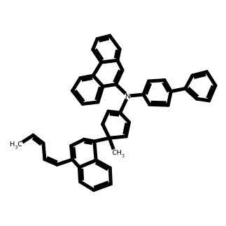 C/C=C\C=C/c1ccc(C2(C)C=CC(N(c3ccc(-c4ccccc4)cc3)c3cc4ccccc4c4ccccc34)=CC2)c2ccccc12